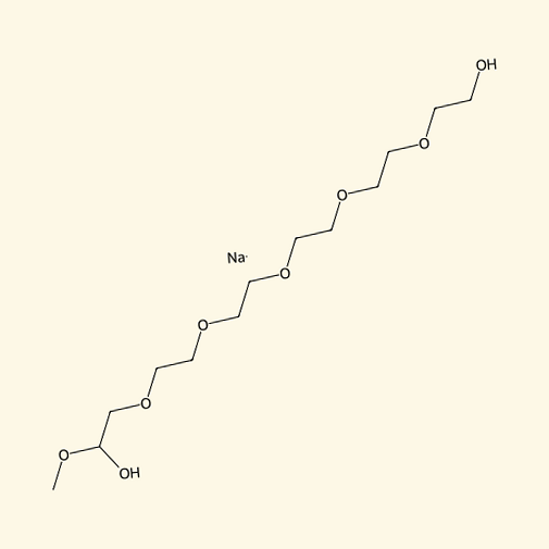 COC(O)COCCOCCOCCOCCOCCO.[Na]